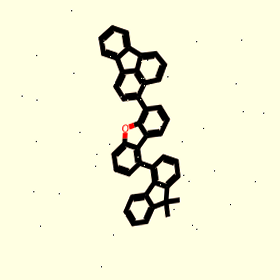 CC1(C)c2ccccc2-c2c(-c3cccc4oc5c(-c6ccc7c8c(cccc68)-c6ccccc6-7)cccc5c34)cccc21